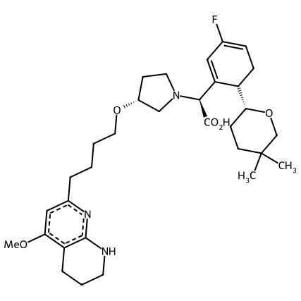 COc1cc(CCCCO[C@@H]2CCN([C@H](C(=O)O)C3=CC(F)=CCC3[C@H]3CCC(C)(C)CO3)C2)nc2c1CCCN2